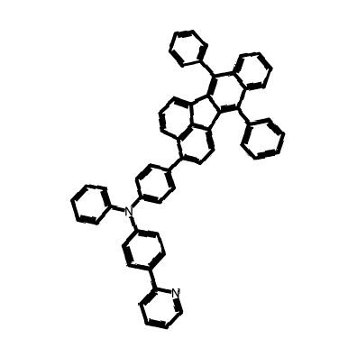 c1ccc(-c2c3c(c(-c4ccccc4)c4ccccc24)-c2ccc(-c4ccc(N(c5ccccc5)c5ccc(-c6ccccn6)cc5)cc4)c4cccc-3c24)cc1